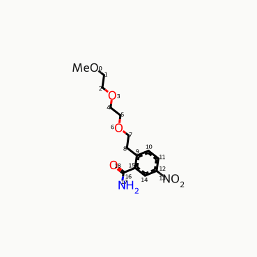 COCCOCCOCCc1ccc([N+](=O)[O-])cc1C(N)=O